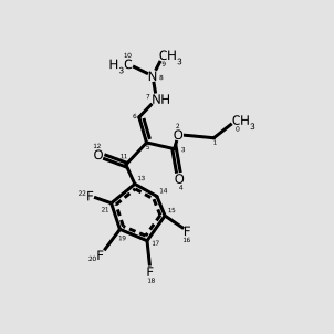 CCOC(=O)C(=CNN(C)C)C(=O)c1cc(F)c(F)c(F)c1F